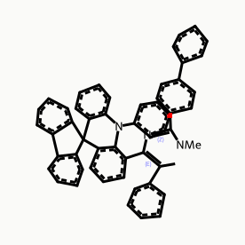 CN/C(=N\C(=C(/C)c1ccccc1)c1cccc2c1N(c1ccccc1)c1ccccc1C21c2ccccc2-c2ccccc21)c1ccc(-c2ccccc2)cc1